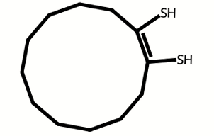 S/C1=C(\S)CCCCCCCCCC1